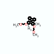 C=COCCCOc1ccc(C2(c3ccc(OCCCOC=C)c(C)c3)c3ccccc3-c3ccccc32)cc1C